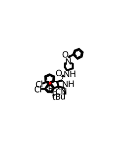 CC(C)(C)C[C@@H]1N[C@@H](C(=O)NC2CCN(C(=O)c3ccccc3)CC2)[C@H](c2cccc(Cl)c2F)[C@@]1(C#N)c1ccc(Cl)cc1F